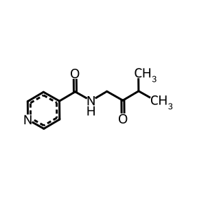 CC(C)C(=O)CNC(=O)c1ccncc1